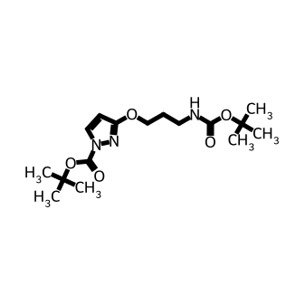 CC(C)(C)OC(=O)NCCCOc1ccn(C(=O)OC(C)(C)C)n1